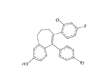 CCc1ccc(C2=C(c3ccc(F)cc3Cl)CCCc3cc(O)ccc32)cc1